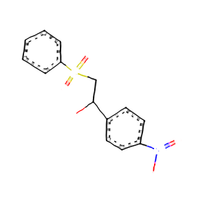 O=[N+]([O-])c1ccc(C(O)CS(=O)(=O)c2ccccc2)cc1